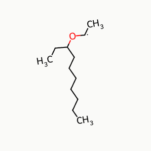 C[CH]OC(CC)CCCCCCC